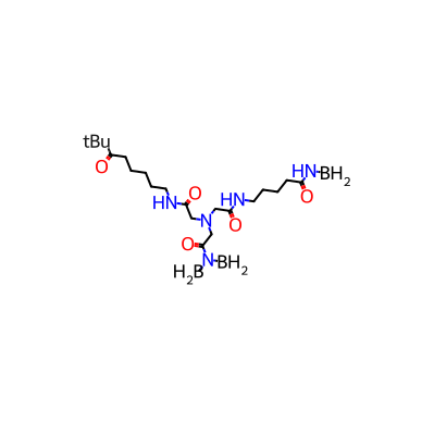 BNC(=O)CCCCNC(=O)CN(CC(=O)NCCCCCC(=O)C(C)(C)C)CC(=O)N(B)B